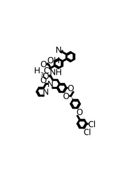 CC(NC(=O)C1Cc2cc3c(cc2CN1C(=O)c1ccccn1)O[C@@H](c1ccc(OCc2ccc(Cl)c(Cl)c2)cc1)CO3)(C(=O)O)c1ccc(-c2ccccc2C#N)cc1